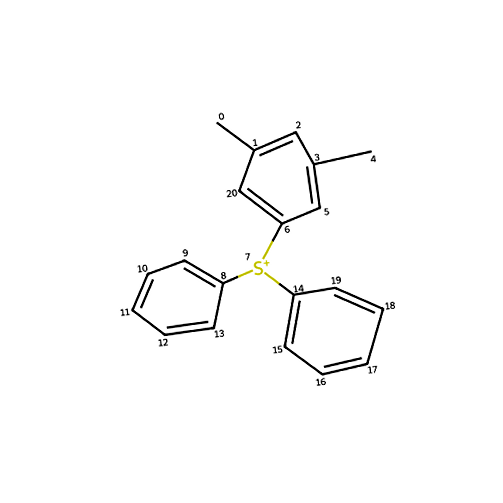 Cc1cc(C)cc([S+](c2ccccc2)c2ccccc2)c1